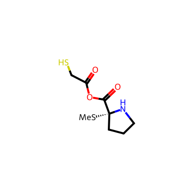 CS[C@@]1(C(=O)OC(=O)CS)CCCN1